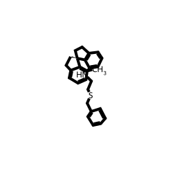 Cc1cccc2c1[C@@]1(CC2)CCc2cccc(NCCSCc3ccccc3)c21